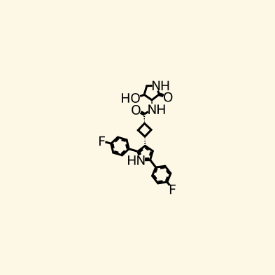 O=C1NCC(O)[C@H]1NC(=O)[C@H]1C[C@@H](c2cc(-c3ccc(F)cc3)[nH]c2-c2ccc(F)cc2)C1